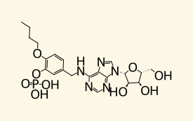 CCCCOc1ccc(CNc2ncnc3c2ncn3[C@@H]2O[C@H](CO)[C@@H](O)[C@H]2O)cc1OP(=O)(O)O